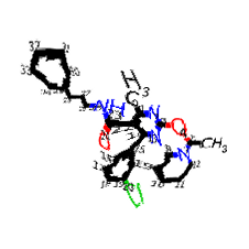 Cc1nc(OC(C)N2CCCCC2)nc(-c2cccc(Cl)c2)c1C(=O)NCCCc1ccccc1